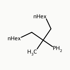 CCCCCCCC(C)(P)CCCCCCC